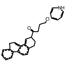 C1=CC=CNC=C1.O=C(CCCCl)C1C=c2c(ccc3c2=CCc2ccccc2-3)CC1